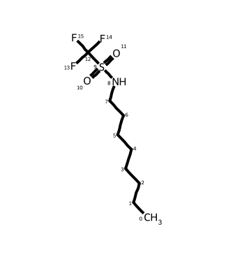 CCCCCCCCNS(=O)(=O)C(F)(F)F